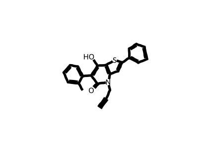 C#CCn1c(=O)c(-c2ccccc2C)c(O)c2sc(-c3ccccc3)cc21